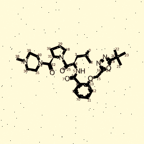 CC(C)C[C@@H](NC(=O)c1ccccc1OCc1nnc(C(C)(C)C)o1)C(=O)N1CCC[C@@H]1C(=O)N1CCN(C)CC1